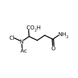 CC(=O)N(Cl)C(CCC(N)=O)C(=O)O